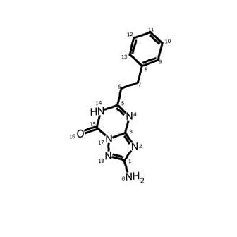 Nc1nc2nc(CCc3ccccc3)[nH]c(=O)n2n1